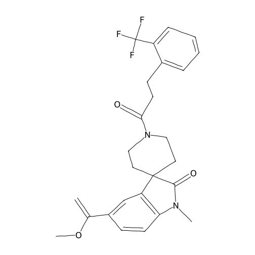 C=C(OC)c1ccc2c(c1)C1(CCN(C(=O)CCc3ccccc3C(F)(F)F)CC1)C(=O)N2C